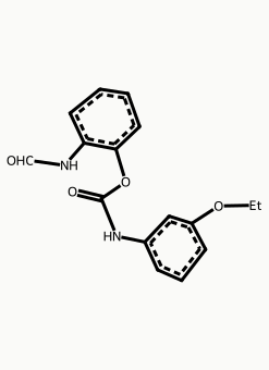 CCOc1cccc(NC(=O)Oc2ccccc2NC=O)c1